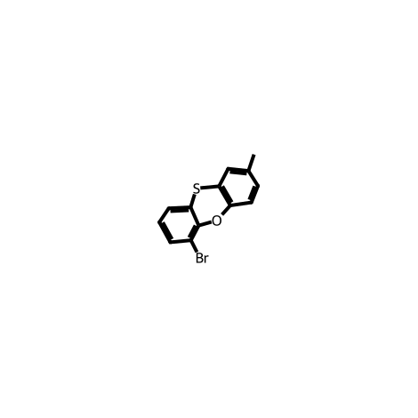 Cc1ccc2c(c1)Sc1cccc(Br)c1O2